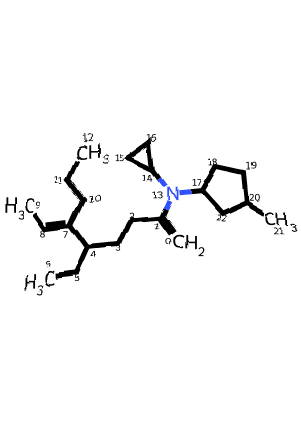 C=C(CCC(CC)/C(=C/C)CCC)N(C1CC1)C1CCC(C)C1